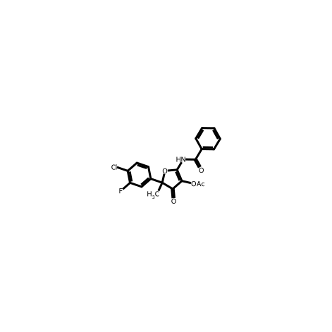 CC(=O)OC1=C(NC(=O)c2ccccc2)OC(C)(c2ccc(Cl)c(F)c2)C1=O